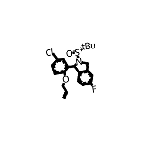 C=CCOc1ccc(Cl)cc1C1c2ccc(F)cc2CN1[S+]([O-])C(C)(C)C